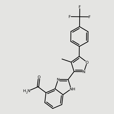 Cc1c(-c2nc3c(C(N)=O)cccc3[nH]2)noc1-c1ccc(C(F)(F)F)cc1